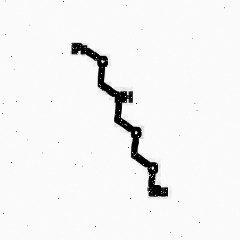 CC(C)OCNCOCOC(C)(C)C